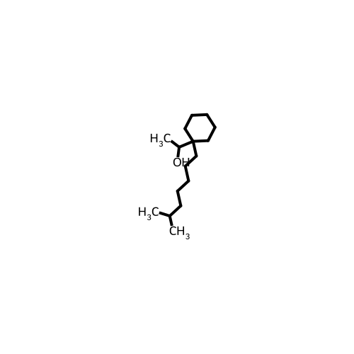 CC(C)CCCCCC1(C(C)O)CCCCC1